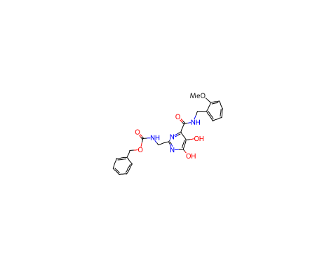 COc1ccccc1CNC(=O)c1nc(CNC(=O)OCc2ccccc2)nc(O)c1O